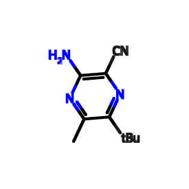 Cc1nc(N)c(C#N)nc1C(C)(C)C